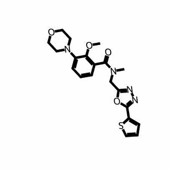 COc1c(C(=O)N(C)Cc2nnc(-c3cccs3)o2)cccc1N1CCOCC1